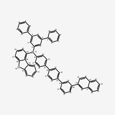 c1ccc(-c2cc(-c3ccccc3)cc(N(c3ccc(-c4ccc(-c5cccc(-c6ccc7ccccc7c6)c5)cc4)cc3)c3cccc4oc5ccccc5c34)c2)cc1